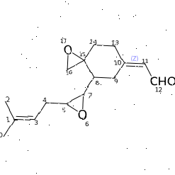 CC(C)=CCC1OC1C1C/C(=C\C=O)CCC12CO2